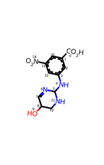 O=C(O)c1cc(NC2N=CC(O)CN2)cc([N+](=O)[O-])c1